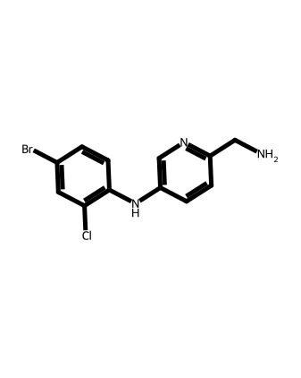 NCc1ccc(Nc2ccc(Br)cc2Cl)cn1